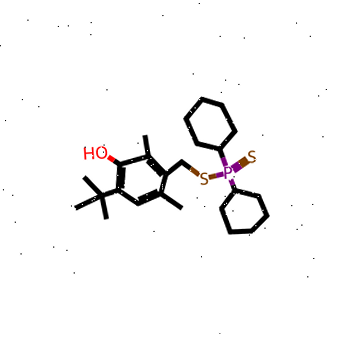 Cc1cc(C(C)(C)C)c(O)c(C)c1CSP(=S)(C1CCCCC1)C1CCCCC1